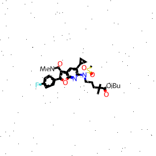 CNC(=O)c1c(-c2ccc(F)cc2)oc2nc(N(CCCC(C)(C)C(=O)OCC(C)C)S(C)(=O)=O)c(C3CC3)cc12